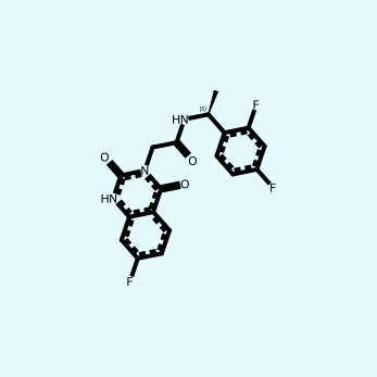 C[C@H](NC(=O)Cn1c(=O)[nH]c2cc(F)ccc2c1=O)c1ccc(F)cc1F